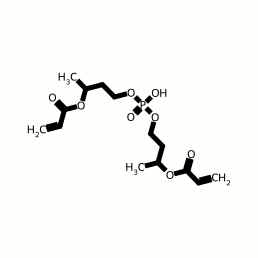 C=CC(=O)OC(C)CCOP(=O)(O)OCCC(C)OC(=O)C=C